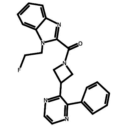 O=C(c1nc2ccccc2n1CCF)N1CC(c2nccnc2-c2ccccc2)C1